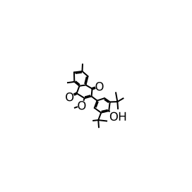 COC1=C(c2cc(C(C)(C)C)c(O)c(C(C)(C)C)c2)C(=O)c2cc(C)cc(C)c2C1=O